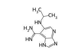 CC(C)Nc1cnc2nc[nH]c2c1C(=N)N